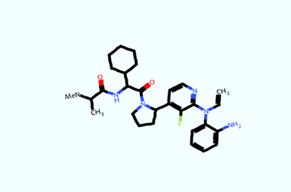 C=CN(c1ccccc1N)c1nccc(C2CCCN2C(=O)C(NC(=O)C(C)NC)C2CCCCC2)c1F